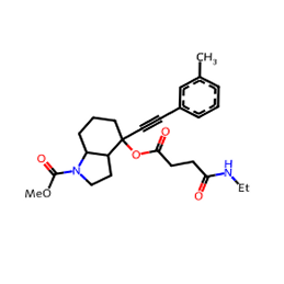 CCNC(=O)CCC(=O)OC1(C#Cc2cccc(C)c2)CCCC2C1CCN2C(=O)OC